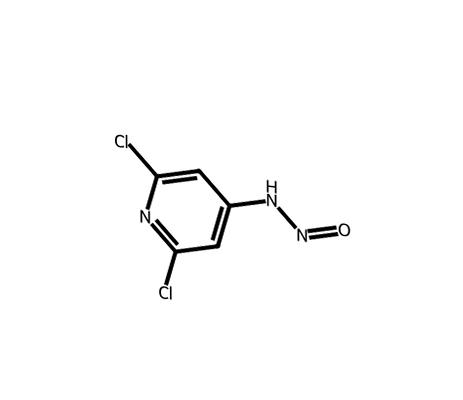 O=NNc1cc(Cl)nc(Cl)c1